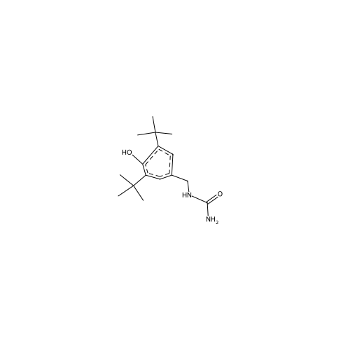 CC(C)(C)c1cc(CNC(N)=O)cc(C(C)(C)C)c1O